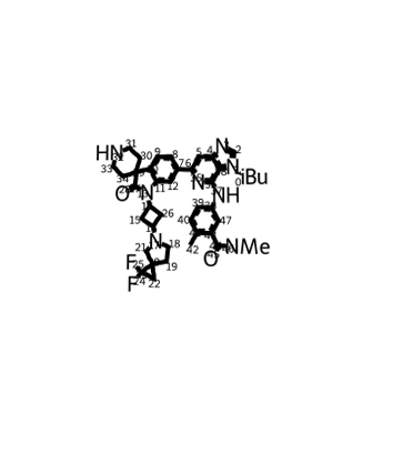 CC[C@H](C)n1cnc2cc(-c3ccc4c(c3)N(C3CC(N5CCC6(C5)CC6(F)F)C3)C(=O)C43CCNCC3)nc(Nc3ccc(C)c(C(=O)NC)c3)c21